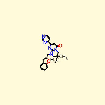 CC1(C)CN(C[C@@H]2Cc3ccccc3O2)c2nc(-c3ccncn3)cc(=O)n2C1